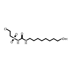 CCCCCCCCCCCCCCCCCCNC(=O)NS(=O)(=O)CCCl